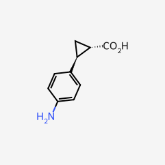 Nc1ccc([C@H]2C[C@@H]2C(=O)O)cc1